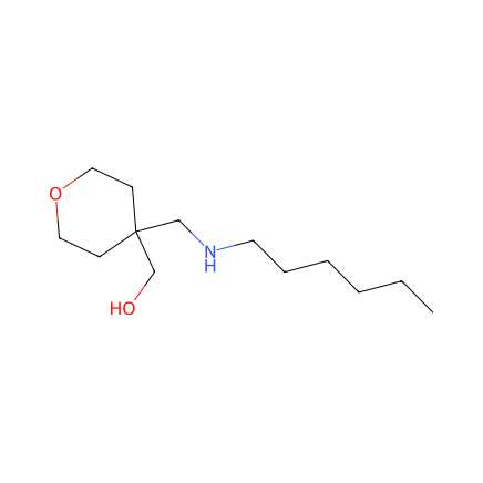 CCCCCCNCC1(CO)CCOCC1